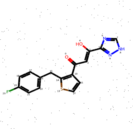 O=C(C=C(O)c1nc[nH]n1)c1ccsc1Cc1ccc(F)cc1